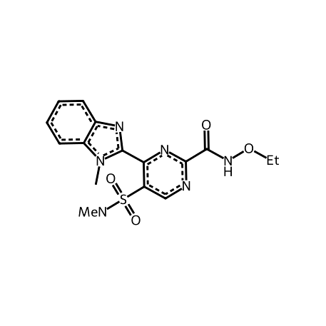 CCONC(=O)c1ncc(S(=O)(=O)NC)c(-c2nc3ccccc3n2C)n1